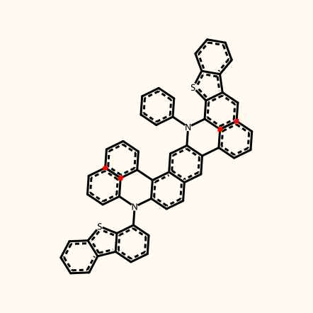 c1ccc(-c2cc3ccc(N(c4ccccc4)c4cccc5c4sc4ccccc45)c(-c4ccccc4)c3cc2N(c2ccccc2)c2cccc3c2sc2ccccc23)cc1